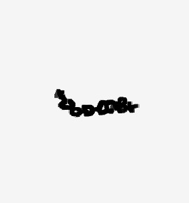 CC(C)(C)OC(=O)N1CC2C=C(c3ccc(Oc4ccc(C#N)cc4)cc3)CC2C1